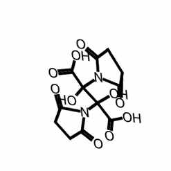 O=C1CCC(=O)N1C(O)(C(=O)O)C(O)(C(=O)O)N1C(=O)CCC1=O